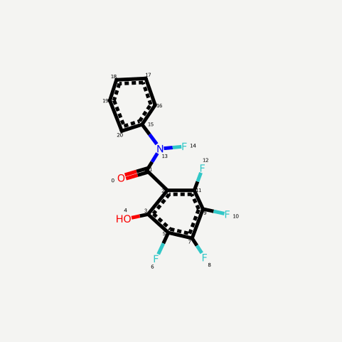 O=C(c1c(O)c(F)c(F)c(F)c1F)N(F)c1ccccc1